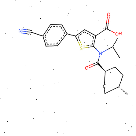 CC(C)N(c1sc(-c2ccc(C#N)cc2)cc1C(=O)O)C(=O)[C@H]1CC[C@H](C)CC1